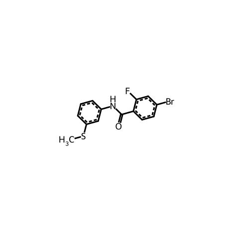 CSc1cccc(NC(=O)c2ccc(Br)cc2F)c1